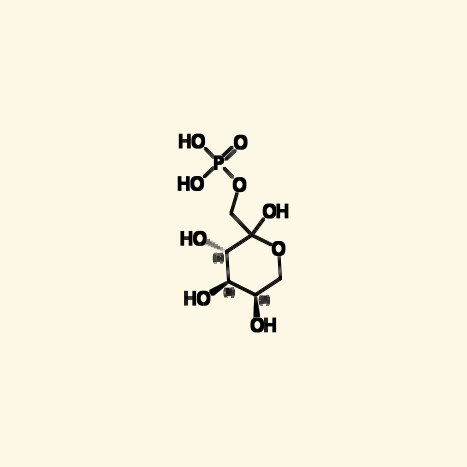 O=P(O)(O)OCC1(O)OC[C@@H](O)[C@@H](O)[C@@H]1O